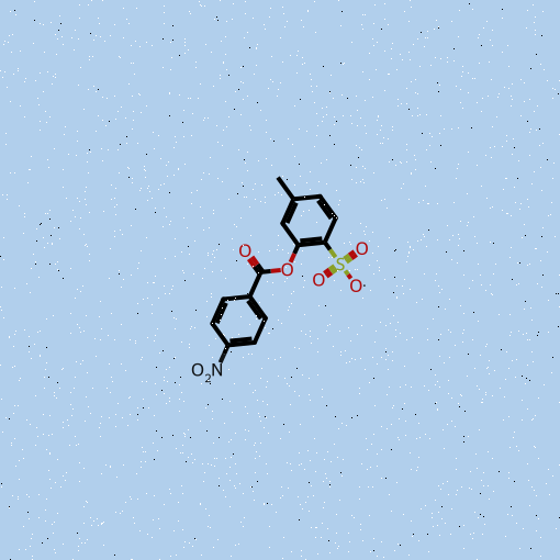 Cc1ccc(S([O])(=O)=O)c(OC(=O)c2ccc([N+](=O)[O-])cc2)c1